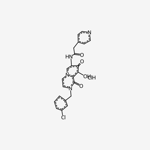 Cl.O=C(Cc1ccncc1)Nc1cn2ccn(Cc3cccc(Cl)c3)c(=O)c2c(O)c1=O